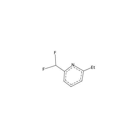 CCc1cccc(C(F)F)n1